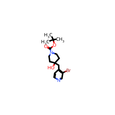 CC(C)(C)OC(=O)N1CCC(O)(Cc2ccncc2Br)CC1